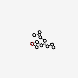 c1ccc(-c2ccccc2-c2c(-c3ccccc3)cccc2-c2cccc(N(c3cccc(-c4ccc5c(c4)c4ccccc4n5-c4ccccc4)c3)c3cccc(-c4cccc5ccccc45)c3)c2)cc1